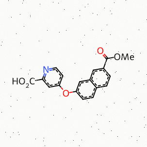 COC(=O)c1ccc2ccc(Oc3ccnc(C(=O)O)c3)cc2c1